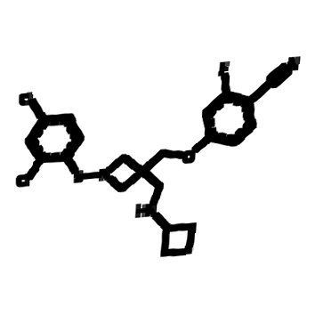 N#Cc1ccc(OCC2(CNC3CCC3)CN(Sc3ccc(Cl)cc3Cl)C2)cc1F